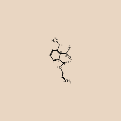 C=CCOC(=O)c1cccc(OC)c1[N+](=O)[O-]